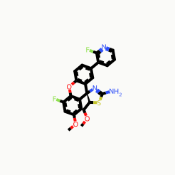 COCC1SC(N)=N[C@]12c1cc(-c3cccnc3F)ccc1Oc1c(F)cc(OC)cc12